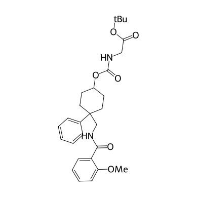 COc1ccccc1C(=O)NCC1(c2ccccc2)CCC(OC(=O)NCC(=O)OC(C)(C)C)CC1